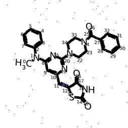 CN(c1ccccc1)c1cc(/C=C2/SC(=O)NC2=O)nc(N2CCN(C(=O)c3ccccc3)CC2)n1